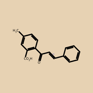 Cc1ccc(C(=O)/C=C/c2ccccc2)c(C(=O)O)c1